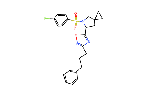 O=S(=O)(c1ccc(F)cc1)N1CC2(CC2)CC1c1nc(CCCc2ccccc2)no1